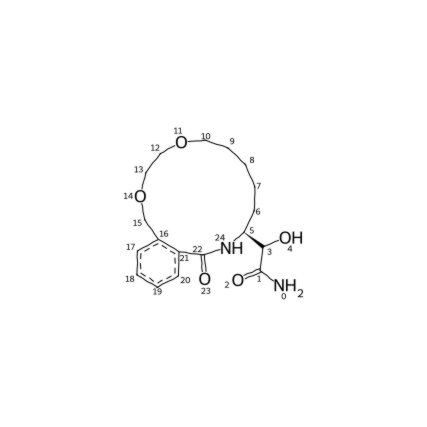 NC(=O)C(O)[C@@H]1CCCCCOCCOCc2ccccc2C(=O)N1